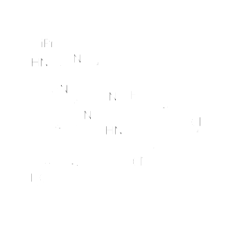 CC(C)Nc1ncc2nc(Nc3c(F)cc(Cl)cc3Cl)n([C@H]3CC[C@@H](C)CC3)c2n1